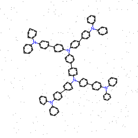 c1ccc(N(c2ccccc2)c2ccc(-c3ccc(N(c4ccc(-c5ccc(N(c6ccccc6)c6ccccc6)cc5)cc4)c4ccc(-c5ccc(N(c6ccc(-c7ccc(N(c8ccccc8)c8ccccc8)cc7)cc6)c6ccc(-c7ccc(N(c8ccccc8)c8ccccc8)cc7)cc6)cc5)cc4)cc3)cc2)cc1